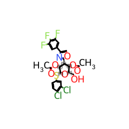 CC(=O)O[C@@H]1[C@@H](c2nc(-c3cc(F)c(F)c(F)c3)co2)[C@@H](OC(C)=O)[C@@H](CO)O[C@@H]1Sc1ccc(Cl)c(Cl)c1